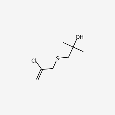 C=C(Cl)CSCC(C)(C)O